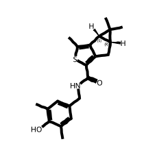 Cc1cc(CNC(=O)c2sc(C)c3c2C[C@@H]2[C@H]3C2(C)C)cc(C)c1O